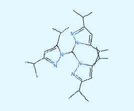 CC(C)c1cc(C(C)C)n(C(n2nc(C(C)C)cc2C(C)C)n2nc(C(C)C)cc2C(C)C)n1